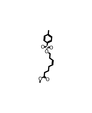 COC(=O)CCC/C=C\CCOS(=O)(=O)c1ccc(C)cc1